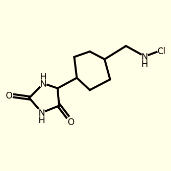 O=C1NC(=O)C(C2CCC(CNCl)CC2)N1